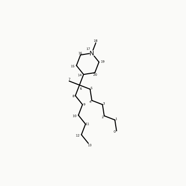 CCCCCCC(C)(CCCCCC)C1CCN(C)CC1